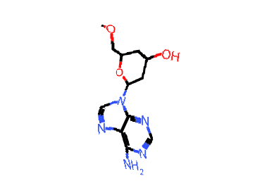 COCC1CC(O)CC(n2cnc3c(N)ncnc32)O1